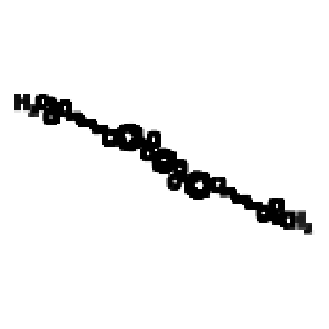 C=CC(=O)OCCCCCCOC1=CC=C(C(=O)Oc2ccc(OC(=O)C3=CC=C(OCCCCCCOC(=O)C=C)CCC3)cc2)C=CC1